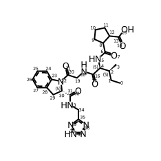 CC[C@H](C)[C@H](NC(=O)C1CCCC1C(=O)O)C(=O)NCC(=O)N1c2ccccc2C[C@H]1C(=O)NCc1nn[nH]n1